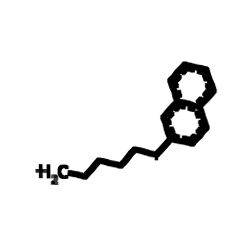 [CH2]CCCC[CH]c1ccc2ccccc2c1